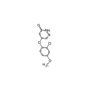 COc1ccc(Oc2cn[nH]c(=O)c2)c(Cl)c1